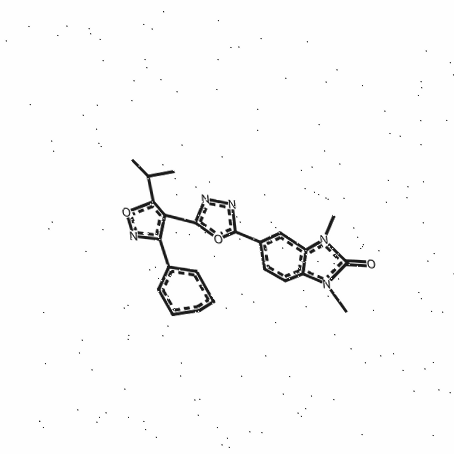 CC(C)c1onc(-c2ccccc2)c1-c1nnc(-c2ccc3c(c2)n(C)c(=O)n3C)o1